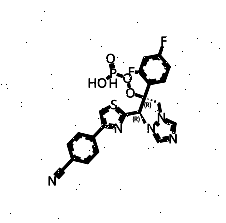 C[C@@H](c1nc(-c2ccc(C#N)cc2)cs1)[C@@](Cn1cncn1)(OO[PH](=O)O)c1ccc(F)cc1F